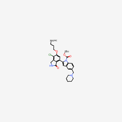 CC(=O)NCCCOc1cc(-c2cc3cc(CN4CCCCC4)ccc3n2C(=O)OC(C)(C)C)c2c(c1Cl)CNC2=O